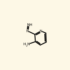 N=Nc1ncccc1N